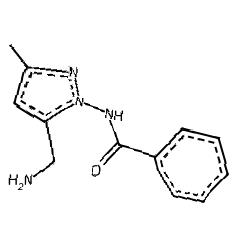 Cc1cc(CN)n(NC(=O)c2ccccc2)n1